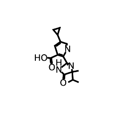 CC(C)C1(C)N=C(c2ncc(C3CC3)cc2C(=O)O)NC1=O